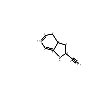 N#CC1CC2CC=NC=C2S1